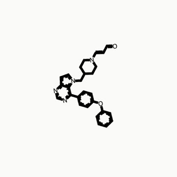 O=CC=CN1CCC(Cn2ccc3ncnc(-c4ccc(Oc5ccccc5)cc4)c32)CC1